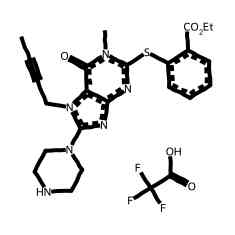 CC#CCn1c(N2CCNCC2)nc2nc(Sc3ccccc3C(=O)OCC)n(C)c(=O)c21.O=C(O)C(F)(F)F